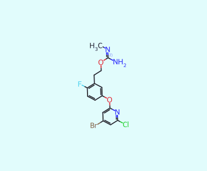 C/N=C(/N)OCCc1cc(Oc2cc(Br)cc(Cl)n2)ccc1F